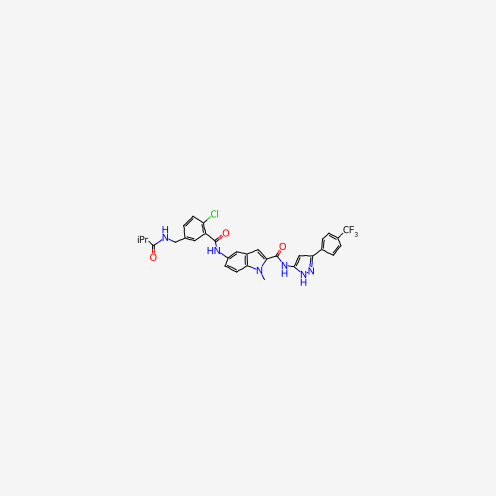 CC(C)C(=O)NCc1ccc(Cl)c(C(=O)Nc2ccc3c(c2)cc(C(=O)Nc2cc(-c4ccc(C(F)(F)F)cc4)n[nH]2)n3C)c1